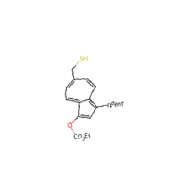 CCCCCc1cc(OC(=O)OCC)c2ccc(CS)ccc1-2